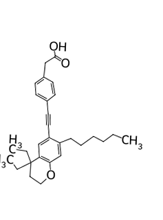 CCCCCCc1cc2c(cc1C#Cc1ccc(CC(=O)O)cc1)C(CC)(CC)CCO2